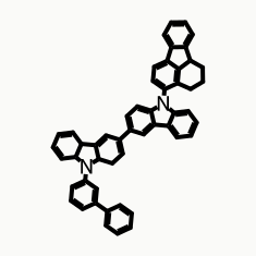 C1=CC2C3=CC(c4ccc5c(c4)c4ccccc4n5-c4ccc5c6c4CCCC6c4ccccc4-5)=CCC3N(c3cccc(-c4ccccc4)c3)C2C=C1